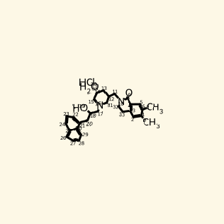 Cc1cc2c(cc1C)C(=O)N(CC1CCCN(CC(O)Cc3cccc4ccccc34)C1)CC2.Cl.O